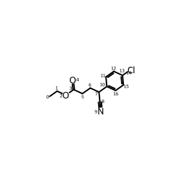 CCOC(=O)CCC(C#N)c1ccc(Cl)cc1